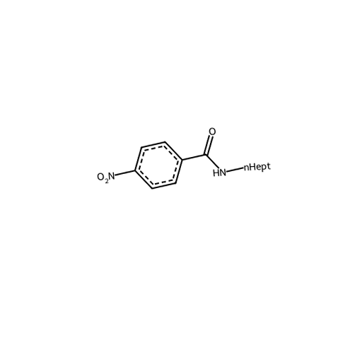 CCCCCCCNC(=O)c1ccc([N+](=O)[O-])cc1